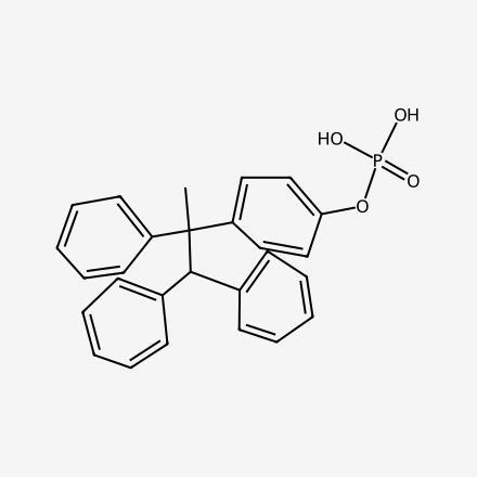 CC(c1ccccc1)(c1ccc(OP(=O)(O)O)cc1)C(c1ccccc1)c1ccccc1